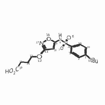 CC(C)(C)c1ccc(S(=O)(=O)Nc2cc(OCCCC(=O)O)no2)cc1